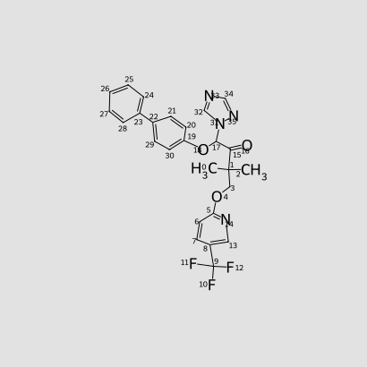 CC(C)(COc1ccc(C(F)(F)F)cn1)C(=O)C(Oc1ccc(-c2ccccc2)cc1)n1cncn1